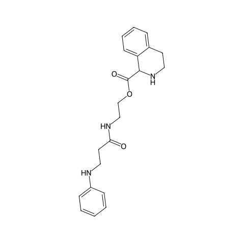 O=C(CCNc1ccccc1)NCCOC(=O)C1NCCc2ccccc21